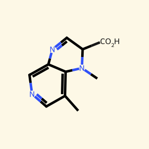 Cc1cncc2c1N(C)C(C(=O)O)C=N2